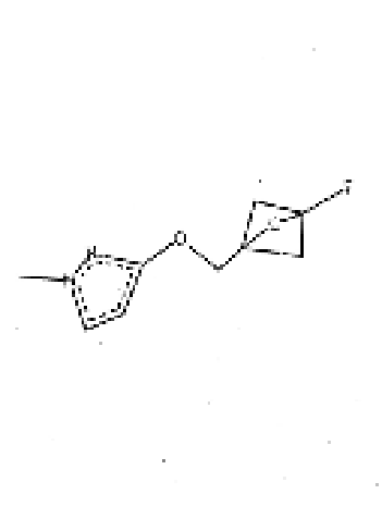 Cn1ccc(OCC23CC(F)(C2)C3)n1